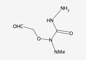 CNN(OCC=O)C(=O)NN